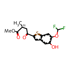 COC(=O)[C@@H](C)CC(=O)c1cc2cc(O)c(OC(F)F)cc2s1